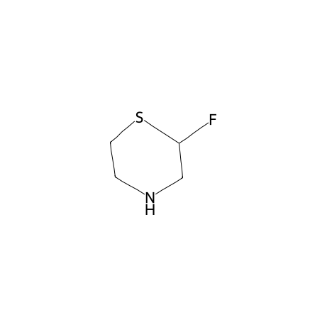 FC1CNCCS1